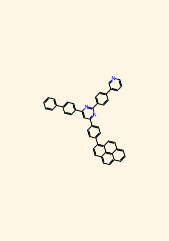 c1ccc(-c2ccc(-c3cc(-c4ccc(-c5ccc6ccc7cccc8ccc5c6c78)cc4)nc(-c4ccc(-c5cccnc5)cc4)n3)cc2)cc1